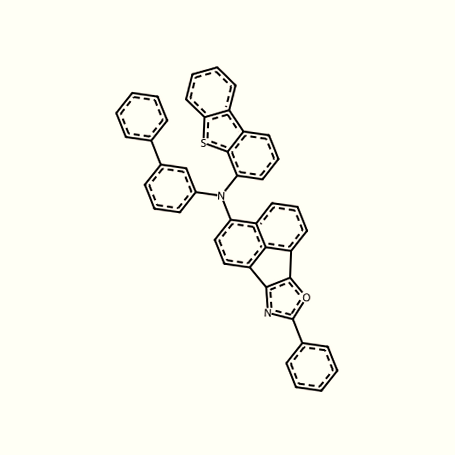 c1ccc(-c2cccc(N(c3ccc4c5c(cccc35)-c3oc(-c5ccccc5)nc3-4)c3cccc4c3sc3ccccc34)c2)cc1